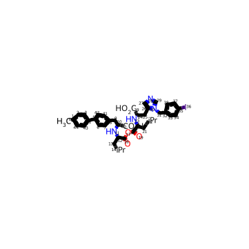 Cc1ccc(-c2ccc(CC(NC(CC(C)C)C(=O)OC(=O)C(CC(C)C)NC(Cc3cncn3Cc3ccc(I)cc3)C(=O)O)C(=O)O)cc2)cc1